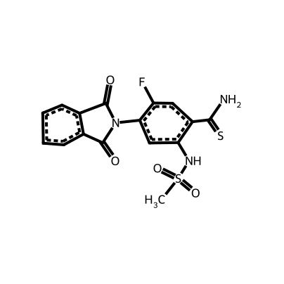 CS(=O)(=O)Nc1cc(N2C(=O)c3ccccc3C2=O)c(F)cc1C(N)=S